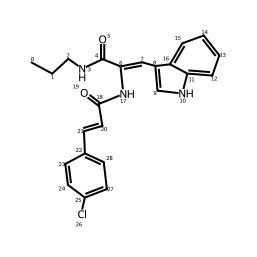 CCCNC(=O)/C(=C/c1c[nH]c2ccccc12)NC(=O)/C=C/c1ccc(Cl)cc1